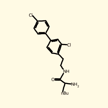 CCCCC(N)C(=O)NCCc1ccc(-c2ccc(Cl)cc2)cc1Cl